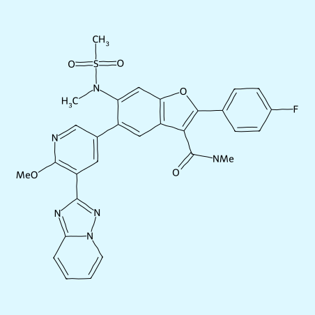 CNC(=O)c1c(-c2ccc(F)cc2)oc2cc(N(C)S(C)(=O)=O)c(-c3cnc(OC)c(-c4nc5ccccn5n4)c3)cc12